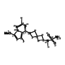 COc1cc(C)c2c(N3CC4(CC(N(C)S(N)(=O)=O)C4)C3)nc(C)nn12